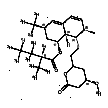 [2H]O[C@H]1CC(=O)OC(CC[C@@H]2[C@@H]3C(=C[C@H](C([2H])([2H])[2H])C[C@@H]3OC(=O)[C@@]([2H])(C([2H])([2H])[2H])C([2H])([2H])C([2H])([2H])[2H])C=C[C@@H]2C)C1